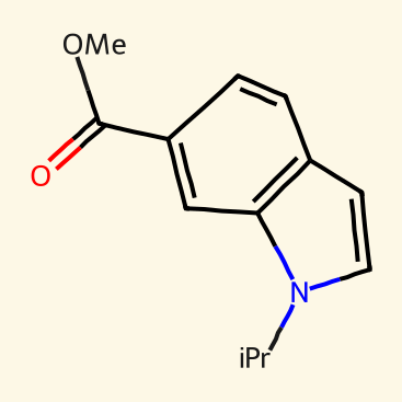 COC(=O)c1ccc2ccn(C(C)C)c2c1